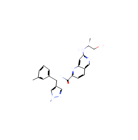 Cc1cccc([C@H](NC(=O)c2ccc3cnc(N[C@@H](C)CO)cc3n2)c2cnn(C)c2)c1